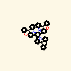 c1ccc2c(c1)Cc1cccc3c1B2c1cccc2c4c5c6ccc7c8c6n(c5c5c(c6ccc9c%10c6n5-c5ccccc5B%10c5ccccc5O9)c4n-3c12)-c1ccccc1B8c1ccccc1O7